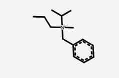 CCC[N+](C)(Cc1ccccc1)C(C)C